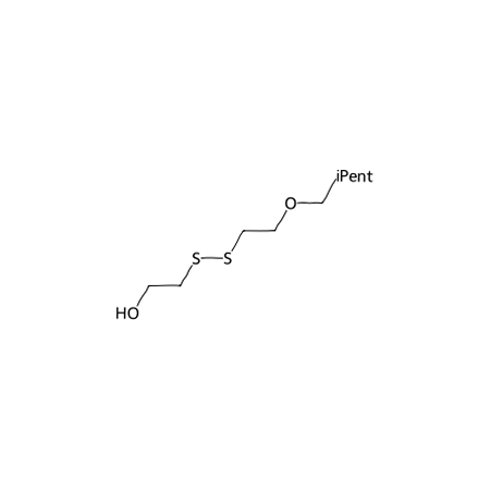 CCCC(C)COCCSSCCO